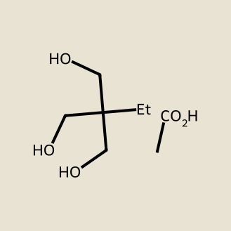 CC(=O)O.CCC(CO)(CO)CO